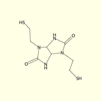 O=C1NC2C(NC(=O)N2CCS)N1CCS